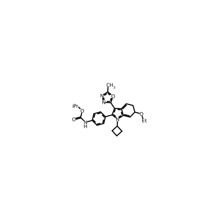 CCOC1C=c2c(c(-c3nnc(C)o3)c(-c3ccc(NC(=O)OC(C)C)cc3)n2C2CCC2)=CC1